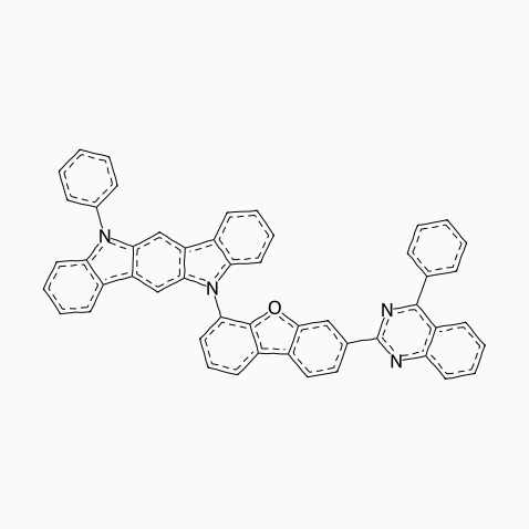 c1ccc(-c2nc(-c3ccc4c(c3)oc3c(-n5c6ccccc6c6cc7c(cc65)c5ccccc5n7-c5ccccc5)cccc34)nc3ccccc23)cc1